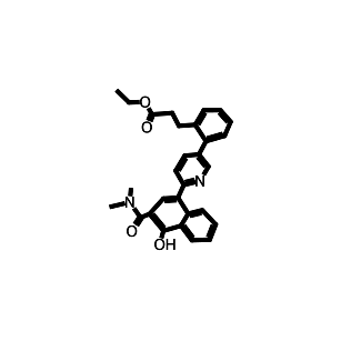 CCOC(=O)CCc1ccccc1-c1ccc(-c2cc(C(=O)N(C)C)c(O)c3ccccc23)nc1